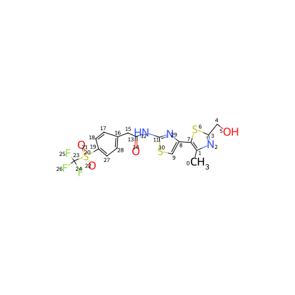 Cc1nc(CO)sc1-c1csc(NC(=O)Cc2ccc(S(=O)(=O)C(F)(F)F)cc2)n1